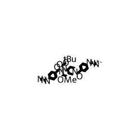 COCCN(C(=O)c1ccc(N=[N+]=[N-])cc1)N(C(=O)OC(C)(C)C)C1CCN(C(=O)c2ccc(N=[N+]=[N-])cc2)CC1